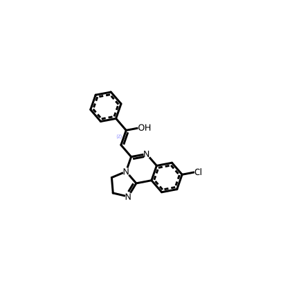 O/C(=C\C1=Nc2cc(Cl)ccc2C2=NCCN12)c1ccccc1